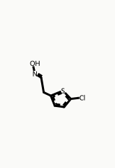 O/N=C/Cc1ccc(Cl)s1